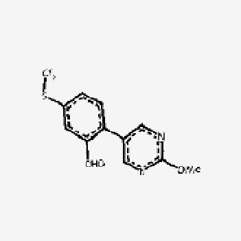 COc1ncc(-c2ccc(SC(F)(F)F)cc2C=O)cn1